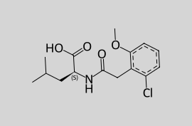 COc1cccc(Cl)c1CC(=O)N[C@@H](CC(C)C)C(=O)O